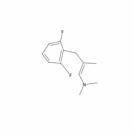 CC(=CN(C)C)Cc1c(F)cccc1F